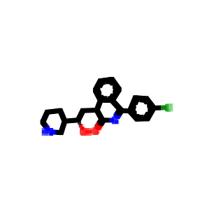 O=C1N=C(c2ccc(Cl)cc2)c2ccccc2C1C[C@H](O)C1CCCNC1